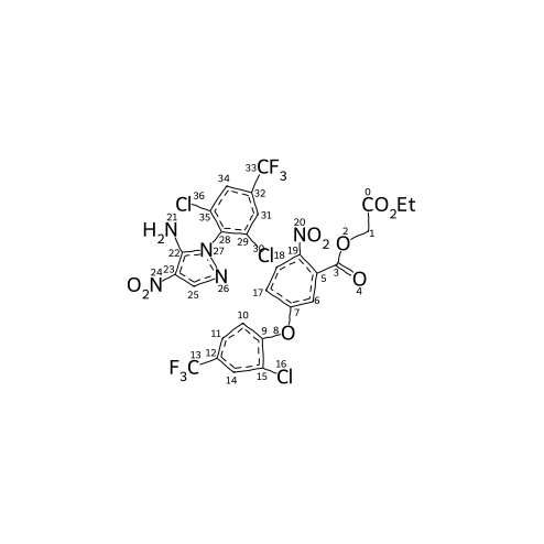 CCOC(=O)COC(=O)c1cc(Oc2ccc(C(F)(F)F)cc2Cl)ccc1[N+](=O)[O-].Nc1c([N+](=O)[O-])cnn1-c1c(Cl)cc(C(F)(F)F)cc1Cl